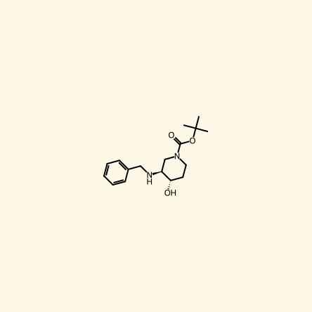 CC(C)(C)OC(=O)N1CC[C@H](O)[C@@H](NCc2ccccc2)C1